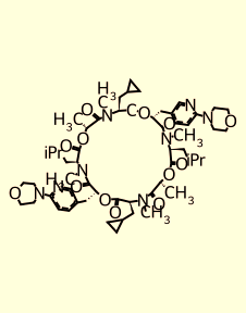 CC(C)C[C@H]1C(=O)O[C@H](C)C(=O)N(C)[C@@H](CC2CC2)C(=O)O[C@H](Cc2ccc(N3CCOCC3)nc2)C(=O)N(C)[C@@H](CC(C)C)C(=O)O[C@H](C)C(=O)N(C)[C@@H](CC2CC2)CO[C@H](Cc2ccc(N3CCOCC3)nc2)C(=O)N1C